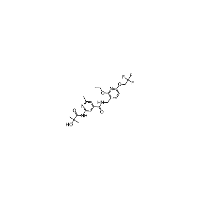 CCOc1nc(OCC(F)(F)F)ccc1CNC(=O)c1cc(C)nc(NC(=O)C(C)(C)O)c1